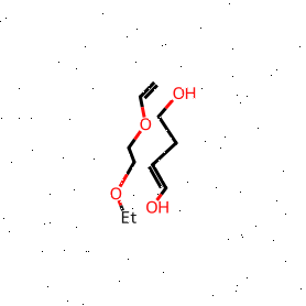 C=COCCOCC.OC=CCCO